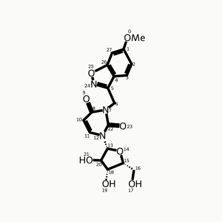 COc1ccc2c(Cn3c(=O)ccn([C@@H]4O[C@H](CO)[C@H](O)C4O)c3=O)noc2c1